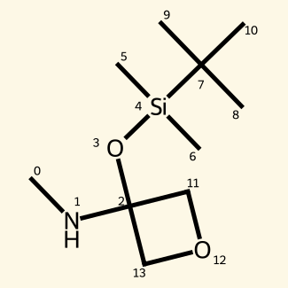 CNC1(O[Si](C)(C)C(C)(C)C)COC1